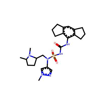 CC1CCC(CN(c2cnn(C)c2)S(=O)(=O)NC(=O)Nc2c3c(cc4c2CCC4)CCC3)N1C